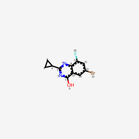 Oc1nc(C2CC2)nc2c(F)cc(Br)cc12